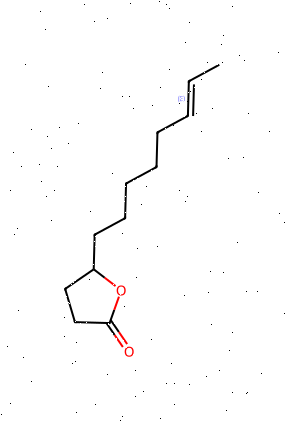 C/C=C/CCCCCC1CCC(=O)O1